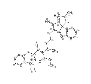 COC(=O)N(C(=O)[C@@H](N)Cc1ccccc1OC)C(C)CCCN1C(=N)NC(CC(C)C)(c2ccccc2)C1=O